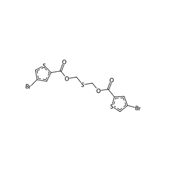 O=C(OCSCOC(=O)c1cc(Br)cs1)c1cc(Br)cs1